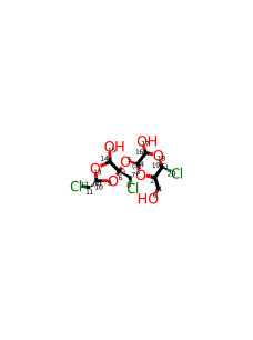 OCC1O[C@@H](O[C@]2(CCl)O[C@H](CCl)OC2O)C(O)O[C@H]1Cl